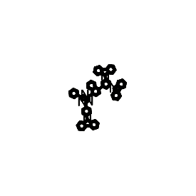 c1ccc(-c2nc(-c3ccc(-n4c5ccccc5c5ccccc54)cc3)nc(-c3ccc(-c4cc(-n5c6ccccc6c6ccccc65)cc(-n5c6ccccc6c6ccccc65)c4)c4ccccc34)n2)cc1